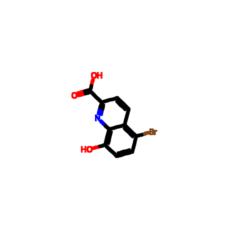 O=C(O)c1ccc2c(Br)ccc(O)c2n1